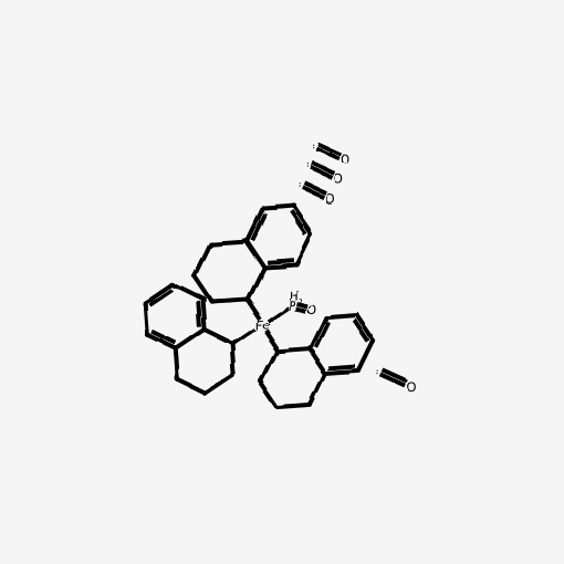 O=[PH2][Fe]([CH]1CCCc2ccccc21)([CH]1CCCc2ccccc21)[CH]1CCCc2ccccc21.[C]=O.[C]=O.[C]=O.[C]=O